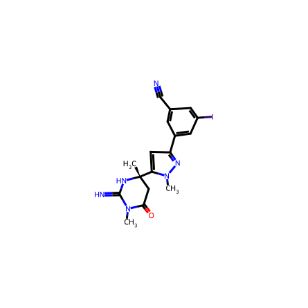 CN1C(=N)N[C@](C)(c2cc(-c3cc(I)cc(C#N)c3)nn2C)CC1=O